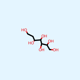 OCCC(O)C(O)C(O)C(O)CO